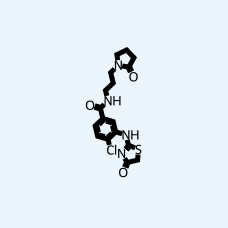 O=C1CSC(Nc2cc(C(=O)NCCCN3CCCC3=O)ccc2Cl)=N1